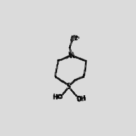 C[CH]N1CCS(O)(O)CC1